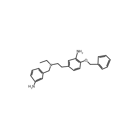 CCN(CCc1ccc(OCc2ccccc2)c(N)c1)Cc1cccc(N)c1